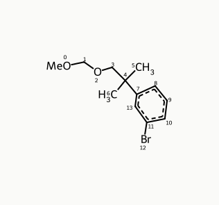 COCOCC(C)(C)c1cccc(Br)c1